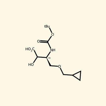 CC(C)(C)OC(=O)N[C@@H](COCC1CC1)C(O)C(=O)O